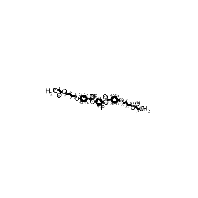 C=CC(=O)OCCCCOc1ccc(C(=O)Oc2cc(F)c(OC(=O)c3ccc(OCCCCOC(=O)C=C)cc3)cc2F)cc1